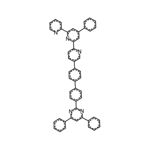 c1ccc(-c2cc(-c3ccccn3)nc(-c3ccc(-c4ccc(-c5ccc(-c6nc(-c7ccccc7)cc(-c7ccccc7)n6)cc5)cc4)cn3)c2)cc1